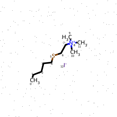 CCCCCSCC[N+](C)(C)C.[I-]